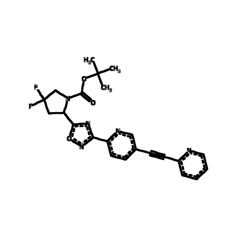 CC(C)(C)OC(=O)N1CC(F)(F)CC1c1nc(-c2ccc(C#Cc3ccccn3)cn2)no1